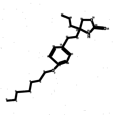 CCCCCCCOc1ccc(CCC2(CCC)COC(=O)N2)cc1